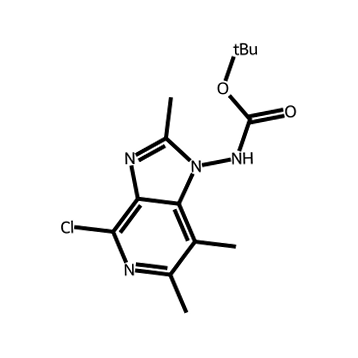 Cc1nc(Cl)c2nc(C)n(NC(=O)OC(C)(C)C)c2c1C